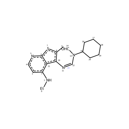 CCNc1ccnc2sc(C)c(/N=C\N(C=O)C3CCCCC3)c12